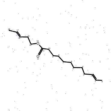 CC=CCCCCCCCCC(=O)OCC/C=C/C